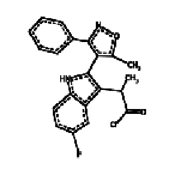 Cc1onc(-c2ccccc2)c1-c1[nH]c2ccc(F)cc2c1C(C)C(=O)Cl